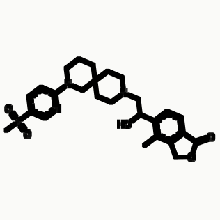 Cc1c(C(O)CN2CCC3(CCCN(c4ccc(S(C)(=O)=O)cn4)C3)CC2)ccc2c1COC2=O